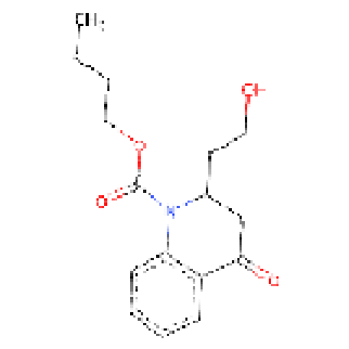 CCCCOC(=O)N1c2ccccc2C(=O)CC1CCO